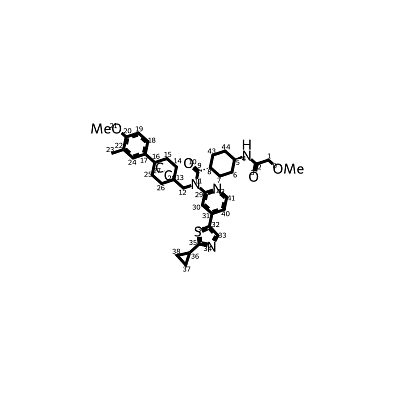 COCC(=O)N[C@H]1CC[C@H](C(=O)N(CC23CCC(c4ccc(OC)c(C)c4)(CC2)CC3)c2cc(-c3cnc(C4CC4)s3)ccn2)CC1